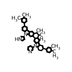 Cc1ccc(C2=Cc3c(n(-c4cccnc4)c4cc5c(cc34)C(C)C(C)c3cc4c6cc(-c7ccc(C)c(C)c7)ccc6n(-c6cc[nH]c6)c4cc3-5)CC2)cc1C